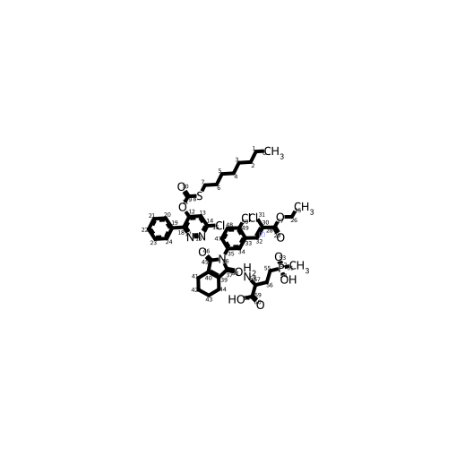 CCCCCCCCSC(=O)Oc1cc(Cl)nnc1-c1ccccc1.CCOC(=O)/C(Cl)=C/c1cc(N2C(=O)C3=C(CCCC3)C2=O)ccc1Cl.CP(=O)(O)CCC(N)C(=O)O